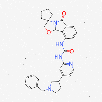 O=C(Nc1cc(C2CCN(Cc3ccccc3)C2)ccn1)Nc1cccc2c1C1OCC3(CCCC3)N1C2=O